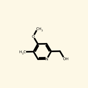 COc1cc(CO)ncc1C